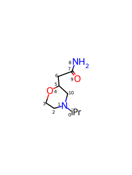 CC(C)N1CCOC(CC(N)=O)C1